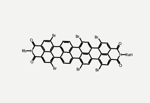 O=C1c2cc(Br)c3c4ccc5c6c(Br)cc7c8c(Br)cc9c%10c(cc(Br)c(c%11cc(Br)c(c%12ccc(c%13c(Br)cc(c2c3%13)C(=O)[N]1[Rb])c4c5%12)c6c7%11)c%108)C(=O)[N]([RaH])C9=O